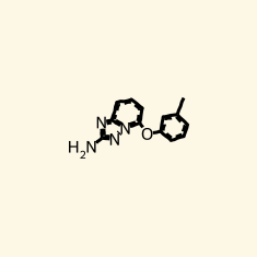 Cc1cccc(Oc2cccc3nc(N)nn23)c1